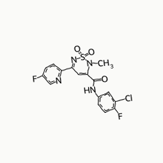 CN1C(C(=O)Nc2ccc(F)c(Cl)c2)=CC(c2ccc(F)cn2)=NS1(=O)=O